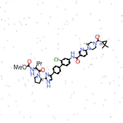 COC(=O)N[C@H](C(=O)N1CCC[C@H]1c1nc(-c2ccc(-c3ccc(NC(=O)c4ccc(N5CCN(C(=O)[C@H]6CC6(C)C)C[C@H]5C)nc4)cc3Cl)cc2)c[nH]1)C(C)C